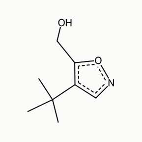 CC(C)(C)c1cnoc1CO